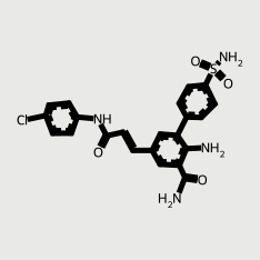 NC(=O)c1cc(C=CC(=O)Nc2ccc(Cl)cc2)cc(-c2ccc(S(N)(=O)=O)cc2)c1N